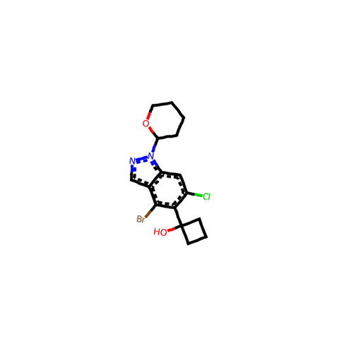 OC1(c2c(Cl)cc3c(cnn3C3CCCCO3)c2Br)CCC1